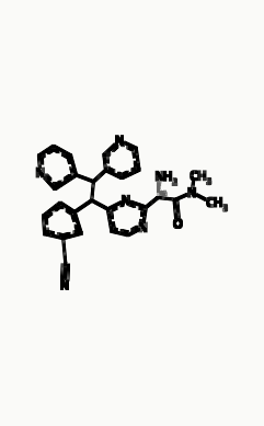 CN(C)C(=O)[C@@H](N)c1nccc(C(c2cccc(C#N)c2)C(c2cccnc2)c2cccnc2)n1